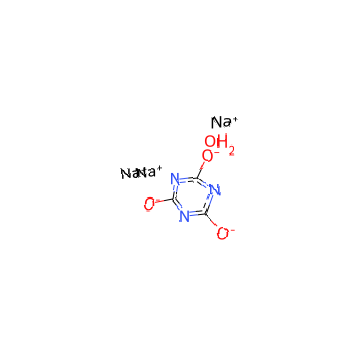 O.[Na+].[Na+].[Na+].[O-]c1nc([O-])nc([O-])n1